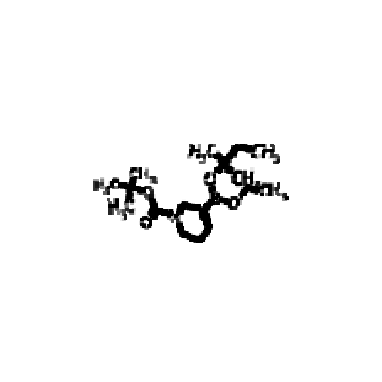 CCOB(OC(C)(C)CC)C1=CCCN(C(=O)OC(C)(C)C)C1